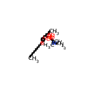 CCCCCCCCCCCCCCOc1ccc(CC(COP(=O)(O)OCCC[N+](C)(C)CC)CC(=O)CC)cc1